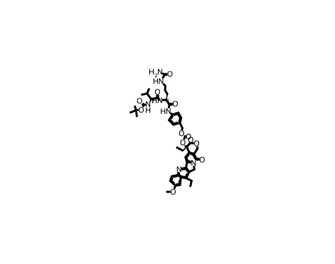 CCc1c2c(nc3ccc(OC)cc13)-c1cc3c(c(=O)n1C2)COC(=O)[C@@]3(CC)OC(=O)OCc1ccc(NC(=O)[C@H](CCCNC(N)=O)NC(=O)[C@@H](NC(=O)OC(C)(C)C)C(C)C)cc1